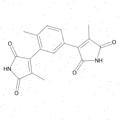 CC1=C(c2ccc(C)c(C3=C(C)C(=O)NC3=O)c2)C(=O)NC1=O